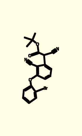 CC(C)(C)OC(=O)C(C#N)c1cccc(Oc2ccccc2Br)c1C#N